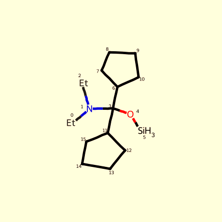 CCN(CC)C(O[SiH3])(C1CCCC1)C1CCCC1